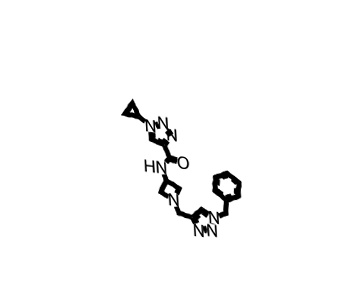 O=C(NC1CN(Cc2cn(Cc3ccccc3)nn2)C1)c1cn(C2CC2)nn1